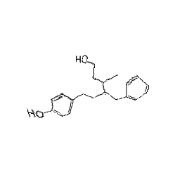 CC(CCO)[C](CCc1ccc(O)cc1)Cc1ccccc1